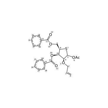 C=CCO[C@@H]1C(OC(C)=O)S[C@H](COC(=O)c2ccccc2)[C@@H]1OC(=O)c1ccccc1